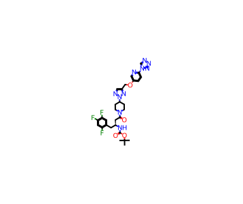 CC(C)(C)OC(=O)N[C@H](CC(=O)N1CCC(n2ncc(COc3ccc(-n4cnnn4)nc3)n2)CC1)Cc1cc(F)c(F)cc1F